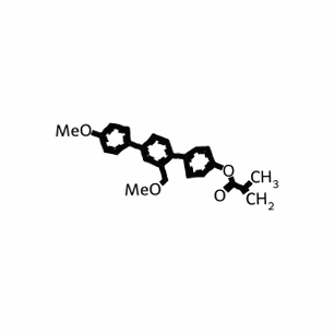 C=C(C)C(=O)Oc1ccc(-c2ccc(-c3ccc(OC)cc3)cc2COC)cc1